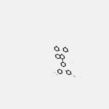 COc1cc(N(c2ccc([Si](C)(C)C)cc2)c2ccc([Si](C)(C)C)cc2)ccc1-c1ccc(B(c2cc(C)cc(C)c2)c2cc(C)cc(C)c2)c2ccccc12